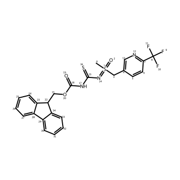 CS(=O)(Cc1ccc(C(F)(F)F)nc1)=NC(=S)NC(=O)OCC1c2ccccc2-c2ccccc21